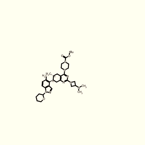 Cc1ccc2c(cnn2C2CCCCO2)c1[C@@H]1Cc2nc(N3CC(N(C)C)C3)nc(N3CCN(C(=O)OC(C)(C)C)CC3)c2C[C@H]1C